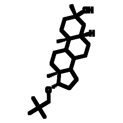 CC(C)(C)CO[C@H]1CCC2C3CC[C@H]4C[C@@](C)(O)CC[C@]4(C)C3CC[C@@]21C